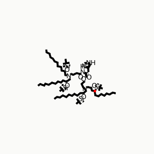 CCCCCCCCCCC(CN(CCCOC(=O)[C@H](Cc1c[nH]cn1)NC(=O)CCCN(CC(CCCCCCCCCC)O[Si](C)(C)C(C)(C)C)CC(CCCCCCCCCC)O[Si](C)(C)C(C)(C)C)CC(CCCCCCCCCC)O[Si](C)(C)C(C)(C)C)O[Si](C)(C)C(C)(C)C